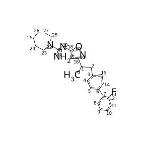 CC(Cc1ccc(-c2ccccc2F)cc1)c1cc(N=C(N)N2CCCCCC2)on1